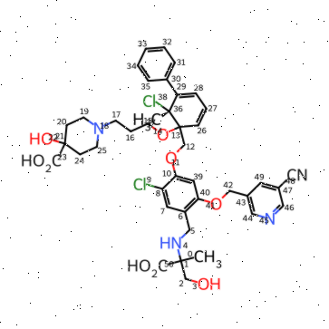 CC(CO)(NCc1cc(Cl)c(OCC2(OCCCN3CCC(O)(C(=O)O)CC3)C=CC=C(c3ccccc3)[C@@]2(C)Cl)cc1OCc1cncc(C#N)c1)C(=O)O